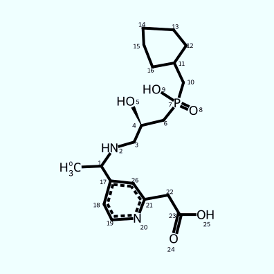 CC(NC[C@@H](O)CP(=O)(O)CC1CCCCC1)c1ccnc(CC(=O)O)c1